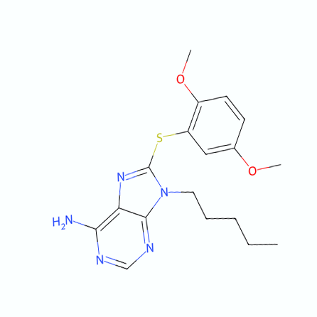 CCCCCn1c(Sc2cc(OC)ccc2OC)nc2c(N)ncnc21